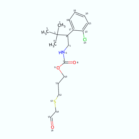 CC(C)(C)C(CNC(=O)OCCCSCC=O)c1ccccc1Cl